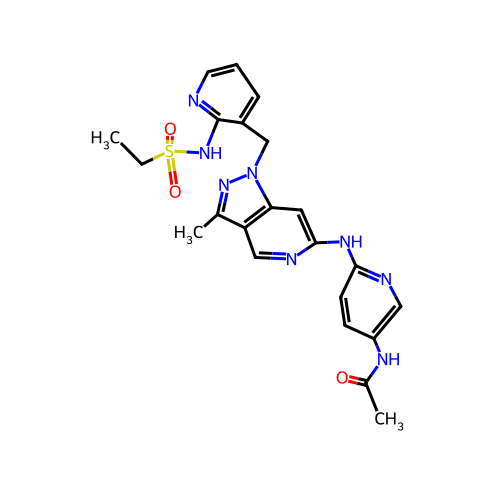 CCS(=O)(=O)Nc1ncccc1Cn1nc(C)c2cnc(Nc3ccc(NC(C)=O)cn3)cc21